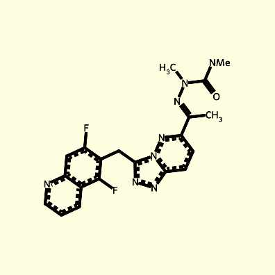 CNC(=O)N(C)N=C(C)c1ccc2nnc(Cc3c(F)cc4ncccc4c3F)n2n1